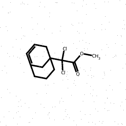 COC(=O)C(Cl)(Cl)C12CC=C=C(CCC1)C2